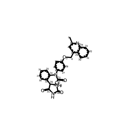 Cc1cc(COc2ccc(N(C(=O)C(F)(F)F)c3ccccc3C3NC(=O)NC3=O)cc2)c2ccccc2n1